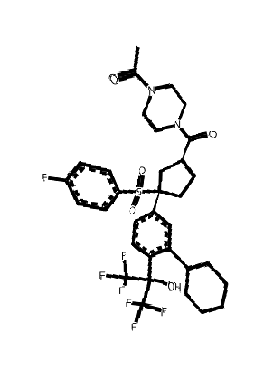 CC(=O)N1CCN(C(=O)[C@H]2CC[C@](c3ccc(C(O)(C(F)(F)F)C(F)(F)F)c(C4CCCCC4)c3)(S(=O)(=O)c3ccc(F)cc3)C2)CC1